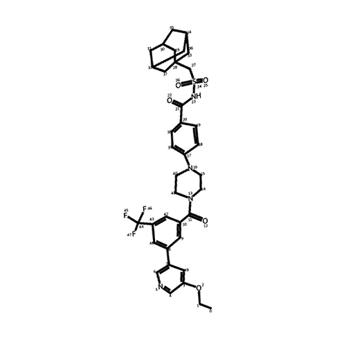 CCOc1cncc(-c2cc(C(=O)N3CCN(c4ccc(C(=O)NS(=O)(=O)CC56CC7CC(CC(C7)C5)C6)cc4)CC3)cc(C(F)(F)F)c2)c1